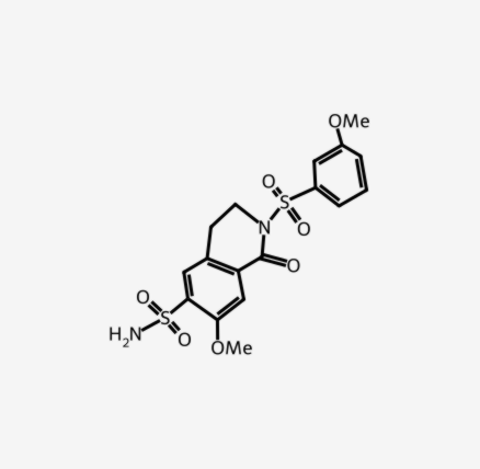 COc1cccc(S(=O)(=O)N2CCc3cc(S(N)(=O)=O)c(OC)cc3C2=O)c1